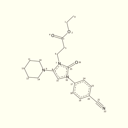 CCOC(=O)CCn1c(N2CCCCC2)cn(-c2ccc(C#N)cc2)c1=O